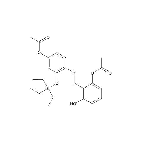 CC[Si](CC)(CC)Oc1cc(OC(C)=O)ccc1C=Cc1c(O)cccc1OC(C)=O